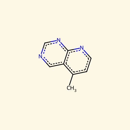 Cc1ccnc2ncncc12